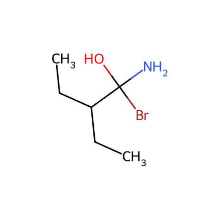 CCC(CC)C(N)(O)Br